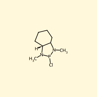 CN1C2CCCC[C@H]2N(C)P1Cl